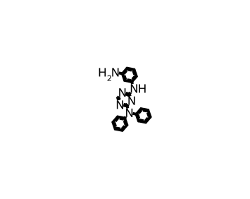 Nc1cccc(Nc2ncnc(N(c3ccccc3)c3ccccc3)n2)c1